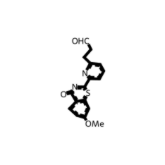 COc1ccc2c(=O)nc(-c3cccc(CCC=O)n3)sc2c1